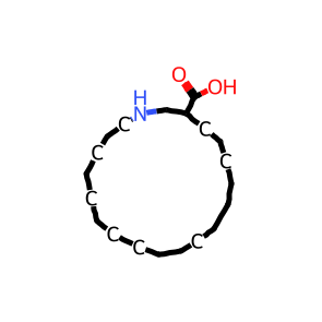 O=C(O)C1CCCCCCCCCCCCCCCCCNC1